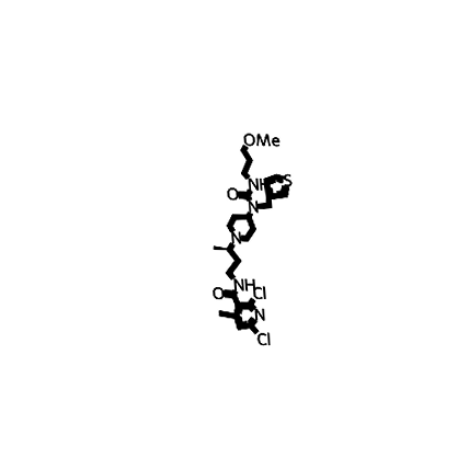 COCCCNC(=O)N(Cc1ccsc1)C1CCN([C@H](C)CCNC(=O)c2c(C)cc(Cl)nc2Cl)CC1